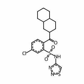 O=C(c1ccc(Cl)cc1S(=O)(=O)Nc1csnn1)C1CCC2CCCCC2C1